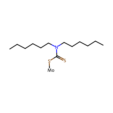 CCCCCCN(CCCCCC)C(=S)[S][Mo]